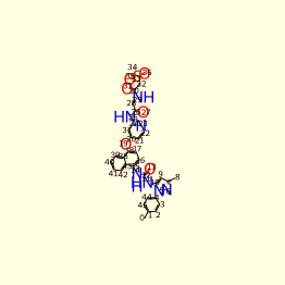 Cc1ccc(-n2nc(C)cc2NC(=O)Nc2ccc(Oc3ccnc(NC(=O)CNC(=O)CS(C)(=O)=O)c3)c3ccccc23)cc1